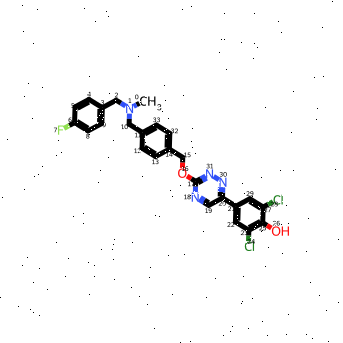 CN(Cc1ccc(F)cc1)Cc1ccc(COc2ncc(-c3cc(Cl)c(O)c(Cl)c3)nn2)cc1